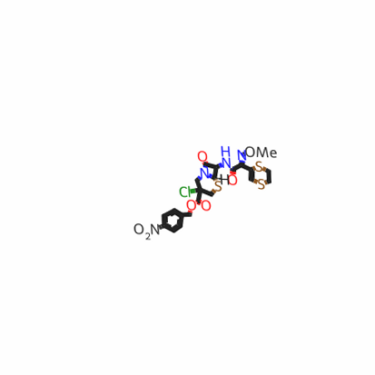 CON=C(C(=O)NC1C(=O)N2CC(Cl)(C(=O)OCc3ccc([N+](=O)[O-])cc3)CS[C@H]12)C1=CSCCS1